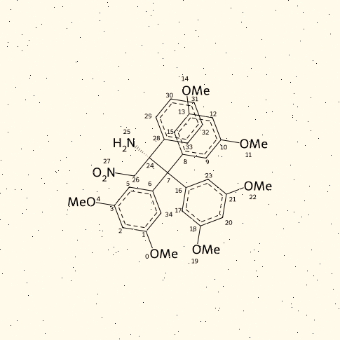 COc1cc(OC)cc(C(c2cc(OC)cc(OC)c2)(c2cc(OC)cc(OC)c2)[C@@](N)(C[N+](=O)[O-])c2ccccc2)c1